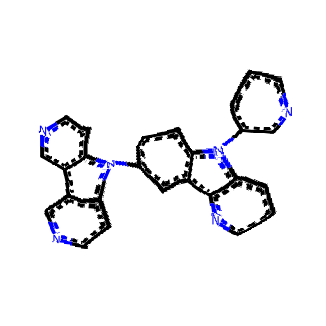 c1cncc(-n2c3ccc(-n4c5ccncc5c5cnccc54)cc3c3ncccc32)c1